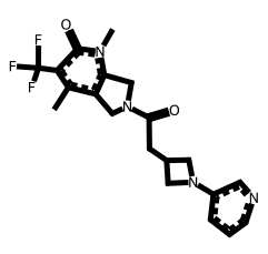 Cc1c2c(n(C)c(=O)c1C(F)(F)F)CN(C(=O)CC1CN(c3cccnc3)C1)C2